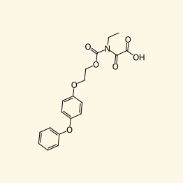 CCN(C(=O)OCCOc1ccc(Oc2ccccc2)cc1)C(=O)C(=O)O